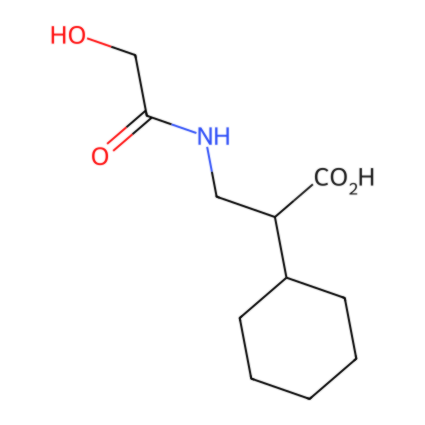 O=C(CO)NCC(C(=O)O)C1CCCCC1